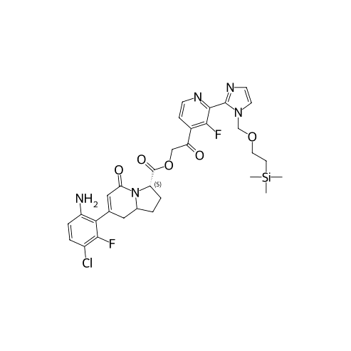 C[Si](C)(C)CCOCn1ccnc1-c1nccc(C(=O)COC(=O)[C@@H]2CCC3CC(c4c(N)ccc(Cl)c4F)=CC(=O)N32)c1F